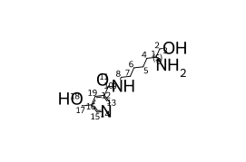 N[C@H](CO)CCCCCNC(=O)c1cncc(CO)c1